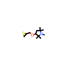 CN1C(C)(C)CC(OCC2CS2)C1(C)C